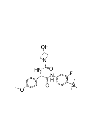 COc1ccc(C(NC(=O)N2CC(O)C2)C(=O)Nc2ccc([Si](C)(C)C)c(F)c2)cc1